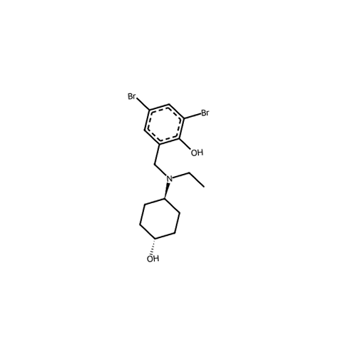 CCN(Cc1cc(Br)cc(Br)c1O)[C@H]1CC[C@H](O)CC1